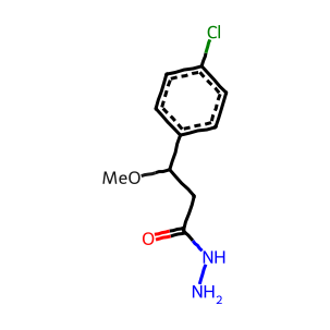 COC(CC(=O)NN)c1ccc(Cl)cc1